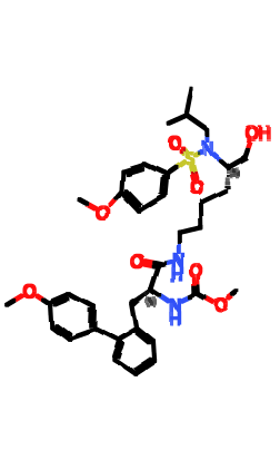 COC(=O)N[C@@H](Cc1ccccc1-c1ccc(OC)cc1)C(=O)NCCCC[C@@H](CO)N(CC(C)C)S(=O)(=O)c1ccc(OC)cc1